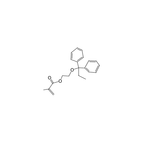 C=C(C)C(=O)OCCOC(CC)(c1ccccc1)c1ccccc1